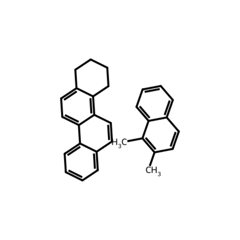 Cc1ccc2ccccc2c1C.c1ccc2c(c1)ccc1c3c(ccc12)CCCC3